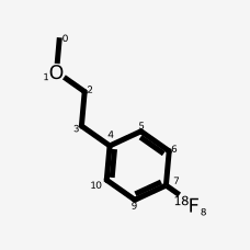 COCCc1ccc([18F])cc1